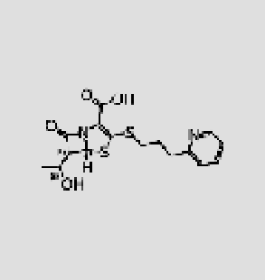 C[C@H](O)[C@@H]1C(=O)N2C(C(=O)O)=C(SCCCc3ccccn3)S[C@H]12